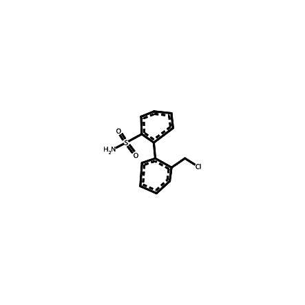 NS(=O)(=O)c1ccccc1-c1ccccc1CCl